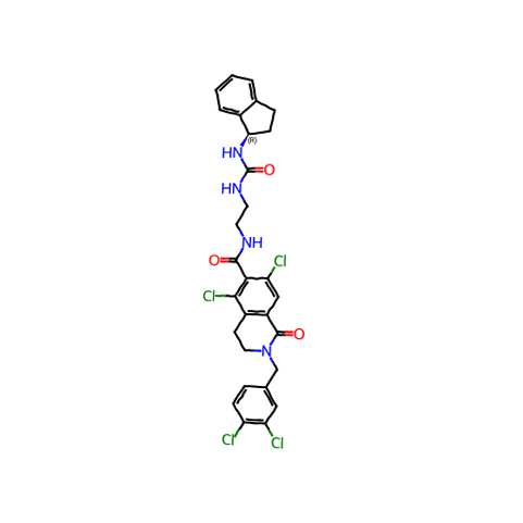 O=C(NCCNC(=O)c1c(Cl)cc2c(c1Cl)CCN(Cc1ccc(Cl)c(Cl)c1)C2=O)N[C@@H]1CCc2ccccc21